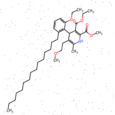 CCCCCCCCCCCCCCCc1cccc(OCC)c1C1C(CCOC)=C(C)NC(C(=O)OC)=C1C(=O)OCC